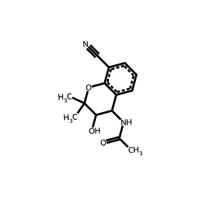 CC(=O)NC1c2cccc(C#N)c2OC(C)(C)C1O